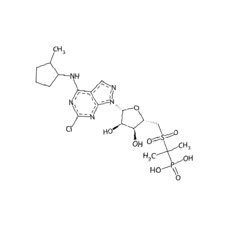 CC1CCCC1Nc1nc(Cl)nc2c1cnn2[C@@H]1O[C@H](CS(=O)(=O)C(C)(C)P(=O)(O)O)[C@@H](O)[C@H]1O